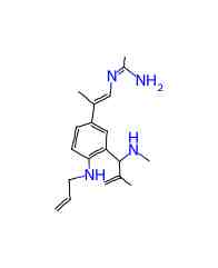 C=CCNc1ccc(/C(C)=C/N=C(/C)N)cc1C(NC)C(=C)C